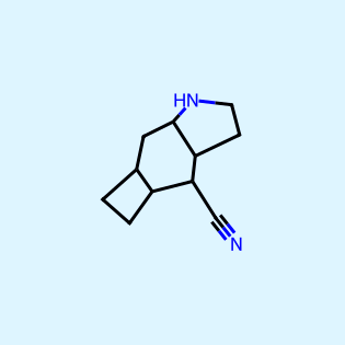 N#CC1C2CCC2CC2NCCC21